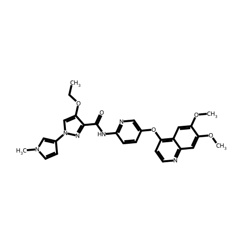 CCOc1cn(-c2ccn(C)c2)nc1C(=O)Nc1ccc(Oc2ccnc3cc(OC)c(OC)cc23)cn1